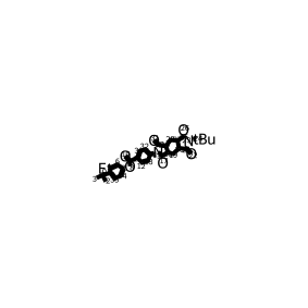 CCC(C)(C)c1ccc(OC(=O)c2ccc(N3C(=O)C4CC5C(=O)N(C(C)(C)C)C(=O)C5CC4C3=O)cc2)cc1